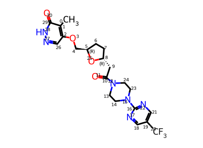 Cc1c(OC[C@H]2CC[C@H](CC(=O)N3CCN(c4ncc(C(F)(F)F)cn4)CC3)O2)cn[nH]c1=O